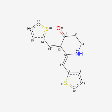 O=C1CCNC(=Cc2cccs2)C1=Cc1cccs1